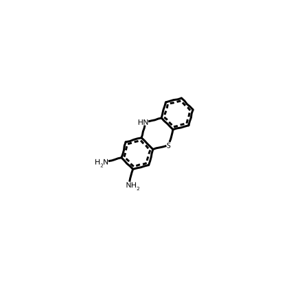 Nc1cc2c(cc1N)Sc1ccccc1N2